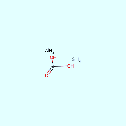 O=[Si](O)O.[AlH3].[SiH4]